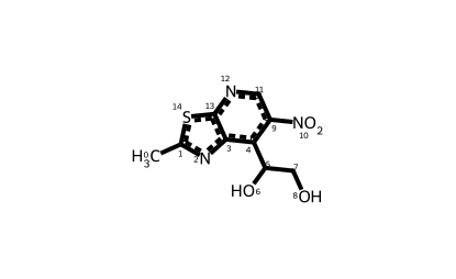 Cc1nc2c(C(O)CO)c([N+](=O)[O-])cnc2s1